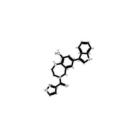 O=C(c1ccon1)N1CCOc2c(O)cc(-c3csc4ccccc34)cc2C1